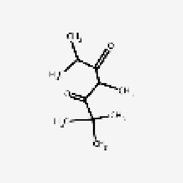 CC(C)C(=O)C(C)C(=O)C(C)(C)C